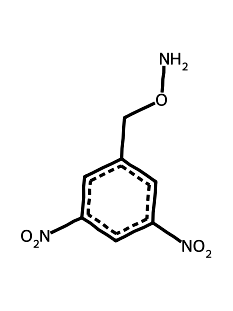 NOCc1cc([N+](=O)[O-])cc([N+](=O)[O-])c1